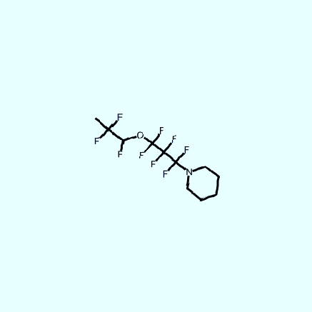 CC(F)(F)C(F)OC(F)(F)C(F)(F)C(F)(F)N1CCCCC1